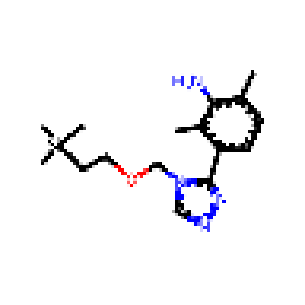 Cc1ccc(-c2nncn2COCC[Si](C)(C)C)c(C)c1N